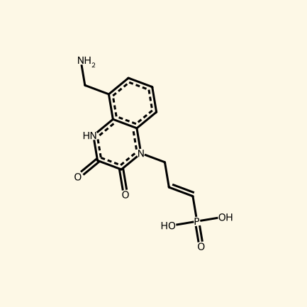 NCc1cccc2c1[nH]c(=O)c(=O)n2CC=CP(=O)(O)O